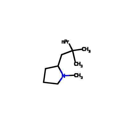 CCCC(C)(C)CC1CCCN1C